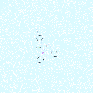 Cc1cc(N2C(=O)[C@](Cc3ccccc3)(CS(=O)(=O)c3ccc(F)cc3)NC2=S)ccc1C#N